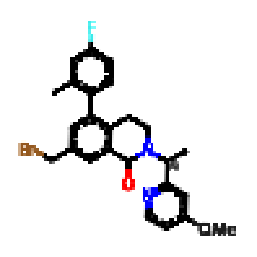 COc1ccnc([C@H](C)N2CCc3c(cc(CBr)cc3-c3ccc(F)cc3C)C2=O)c1